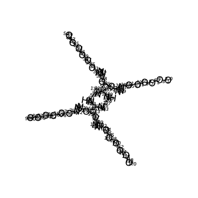 COCCOCCOCCOCCOCCOCCn1cc(COc2cc(OCc3cn(CCOCCOCCOCCOCCOCCOC)nn3)cc(-c3c4nc(cc5ccc([nH]5)c(-c5cc(OCc6cn(CCOCCOCCOCCOCCOCCOC)nn6)cc(OCc6cn(CCOCCOCCOCCOCCOCCOC)nn6)c5)c5nc(cc6ccc3[nH]6)C=C5)C=C4)c2)nn1